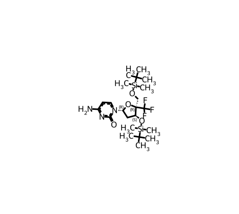 CC(C)(C)[Si](C)(C)OC[C@@]1(C(F)(F)F)O[C@@H](n2ccc(N)nc2=O)C[C@@H]1O[Si](C)(C)C(C)(C)C